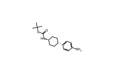 CC(C)(C)OC(=O)N[C@H]1CC[C@H](c2ccc(N)cc2)CC1